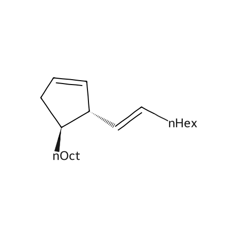 CCCCCC/C=C/[C@H]1C=CC[C@@H]1CCCCCCCC